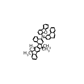 CC1(C)c2ccccc2-c2cc3c(cc21)-c1c(cc(N(c2ccc4ccc5ccccc5c4c2)c2cccc4c2oc2ccccc24)c2ccccc12)C3(C)C